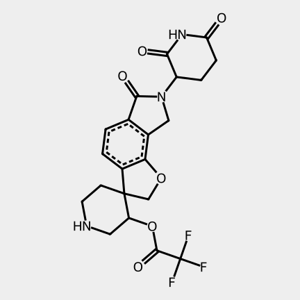 O=C1CCC(N2Cc3c(ccc4c3OCC43CCNCC3OC(=O)C(F)(F)F)C2=O)C(=O)N1